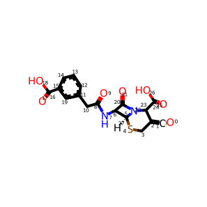 O=C=C1CS[C@H]2C(NC(=O)Cc3cccc(C(=O)O)c3)C(=O)N2C1C(=O)O